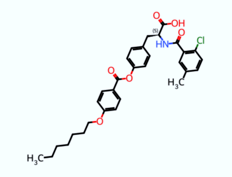 CCCCCCCOc1ccc(C(=O)Oc2ccc(C[C@H](NC(=O)c3cc(C)ccc3Cl)C(=O)O)cc2)cc1